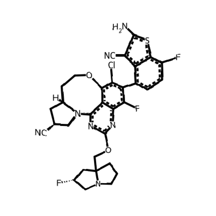 N#Cc1c(N)sc2c(F)ccc(-c3c(Cl)c4c5c(nc(OCC67CCCN6C[C@H](F)C7)nc5c3F)N3C[C@@H](C#N)C[C@@H]3CCO4)c12